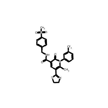 Cc1c(C2=NCCO2)cc(C(=O)NCc2ccc(S(C)(=O)=O)cc2)c(=O)n1-c1cccc(C(F)(F)F)c1